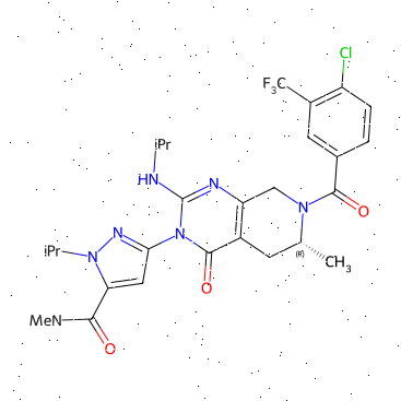 CNC(=O)c1cc(-n2c(NC(C)C)nc3c(c2=O)C[C@@H](C)N(C(=O)c2ccc(Cl)c(C(F)(F)F)c2)C3)nn1C(C)C